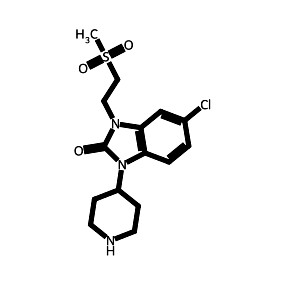 CS(=O)(=O)CCn1c(=O)n(C2CCNCC2)c2ccc(Cl)cc21